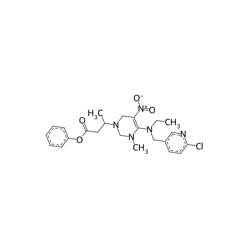 CCN(Cc1ccc(Cl)nc1)C1=C([N+](=O)[O-])CN(C(C)CC(=O)Oc2ccccc2)CN1C